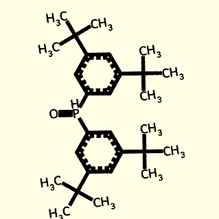 CC(C)(C)c1cc([PH](=O)c2cc(C(C)(C)C)cc(C(C)(C)C)c2)cc(C(C)(C)C)c1